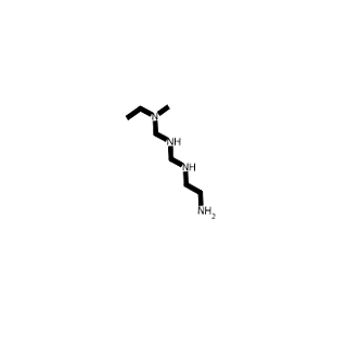 CCN(C)CNCNCCN